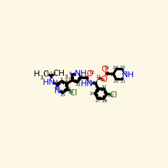 CC(C)Nc1cc(-c2c[nH]c(C(=O)N[C@H](COC(=O)C3CCNCC3)c3cccc(Cl)c3)c2)c(Cl)cn1